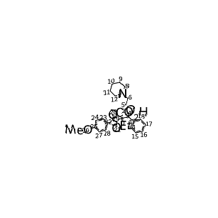 CCC(C(=O)O)(C(OCCN1CCCCC1)c1ccccc1)S(=O)(=O)c1ccc(OC)cc1